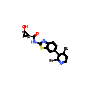 CCc1ccnc(CC)c1-c1ccc2nc(NC(=O)[C@@H]3C[C@@H]3O)sc2c1